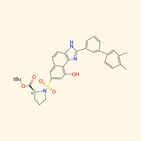 Cc1ccc(-c2cccc(-c3nc4c(ccc5cc(S(=O)(=O)N6CCC[C@H]6C(=O)OC(C)(C)C)cc(O)c54)[nH]3)c2)cc1C